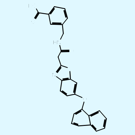 O=C(Cc1nc2ccc(Oc3cccc4ccccc34)cc2s1)NCc1cccc(C(=O)O)c1